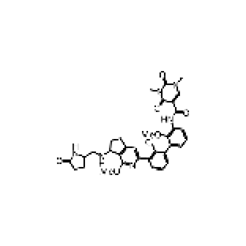 COc1nc(-c2cccc(-c3cccc(NC(=O)c4cn(C)c(=O)n(C)c4=O)c3OC)c2Cl)cc2c1C(NCC1CCC(=O)N1)CC2